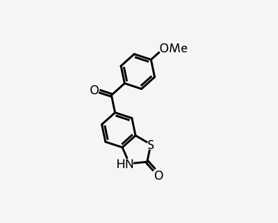 COc1ccc(C(=O)c2ccc3[nH]c(=O)sc3c2)cc1